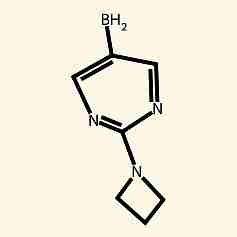 Bc1cnc(N2CCC2)nc1